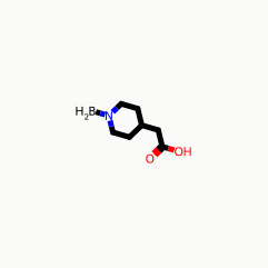 BN1CCC(CC(=O)O)CC1